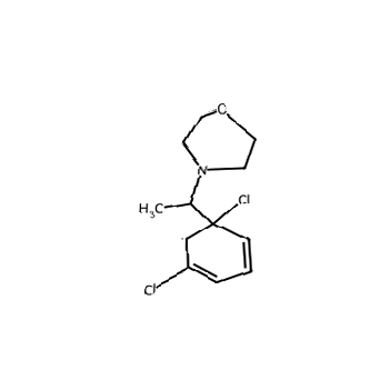 CC(N1CCOCC1)C1(Cl)[CH]C(Cl)=CC=C1